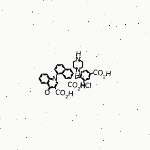 C1CNCCN1.Cc1ccc(C(=O)O)cc1C(=O)O.Cl.O=C(O)c1cn(-c2cccc3ccccc23)c2ccccc2c1=O